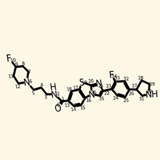 O=C(NCCCN1CCC(F)CC1)c1ccc2c(c1)sc1nc(-c3ccc(C4CCNC4)cc3F)cn12